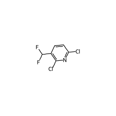 FC(F)c1ccc(Cl)nc1Cl